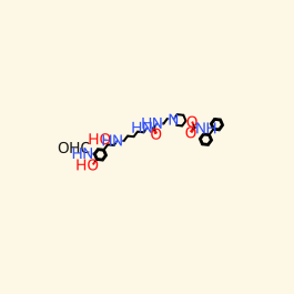 O=CNc1cc([C@H](O)CNCCCCCNC(=O)NCCN2CCC(OC(=O)Nc3ccccc3-c3ccccc3)CC2)ccc1O